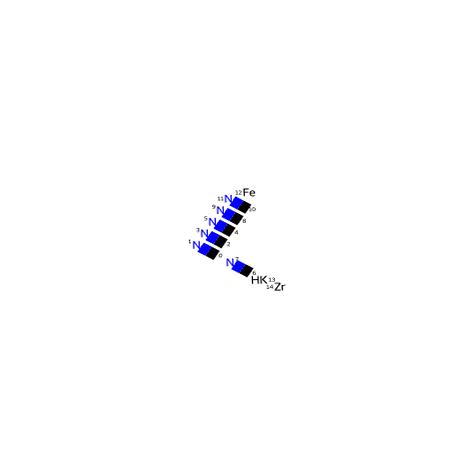 C#N.C#N.C#N.C#N.C#N.C#N.[Fe].[KH].[Zr]